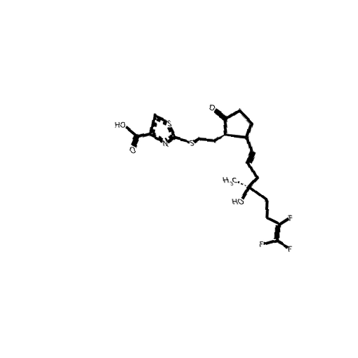 C[C@](O)(C/C=C/C1CCC(=O)[C@@H]1CCSc1nc(C(=O)O)cs1)CCC(F)=C(F)F